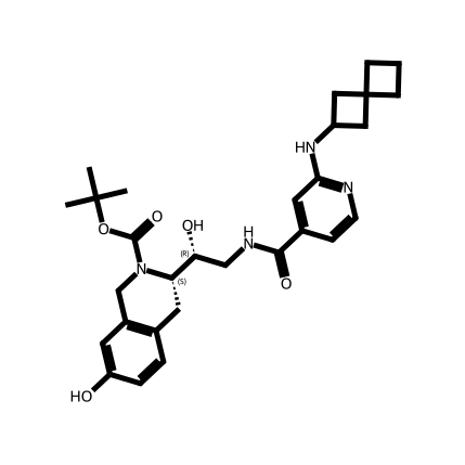 CC(C)(C)OC(=O)N1Cc2cc(O)ccc2C[C@H]1[C@H](O)CNC(=O)c1ccnc(NC2CC3(CCC3)C2)c1